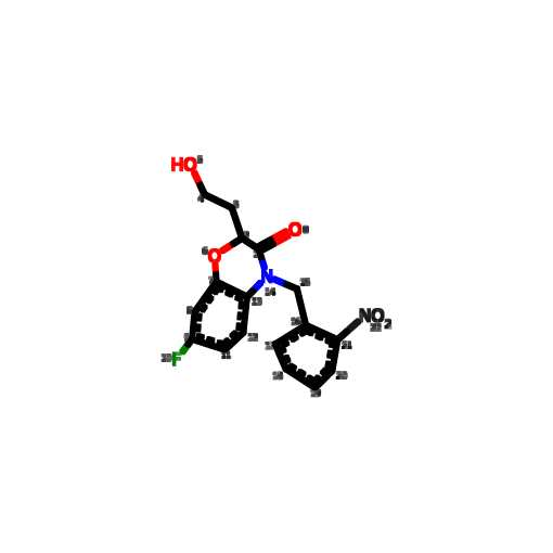 O=C1C(CCO)Oc2cc(F)ccc2N1Cc1ccccc1[N+](=O)[O-]